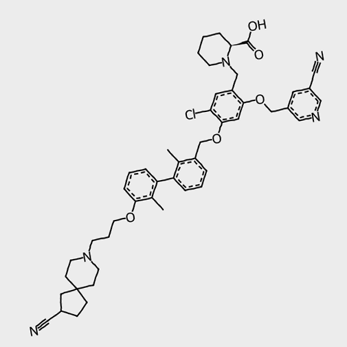 Cc1c(COc2cc(OCc3cncc(C#N)c3)c(CN3CCCC[C@H]3C(=O)O)cc2Cl)cccc1-c1cccc(OCCCN2CCC3(CCC(C#N)C3)CC2)c1C